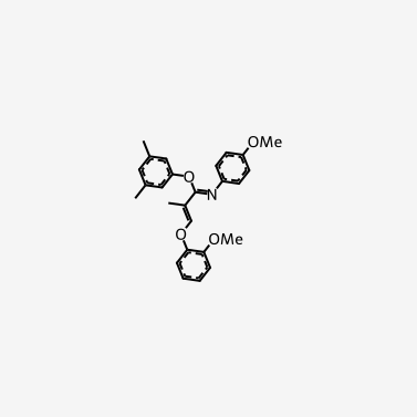 COc1ccc(N=C(Oc2cc(C)cc(C)c2)C(C)=COc2ccccc2OC)cc1